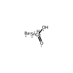 [Ba].[O]=[GeH][OH].[Sn]